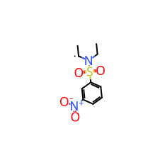 C[CH]N(CC)S(=O)(=O)c1cccc([N+](=O)[O-])c1